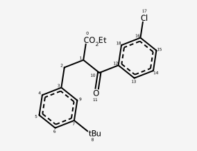 CCOC(=O)C(Cc1cccc(C(C)(C)C)c1)C(=O)c1cccc(Cl)c1